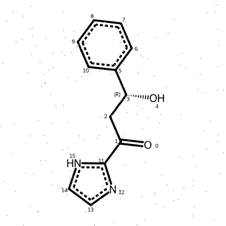 O=C(C[C@@H](O)c1ccccc1)c1ncc[nH]1